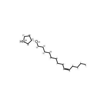 CCCC/C=C\CCCCCCCCO[C@H]1CCNC1